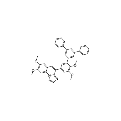 COc1cc2cc(-c3cc(OC)c(OC)c(-c4cc(-c5ccccc5)cc(-c5ccccc5)c4)c3)c3nccn3c2cc1OC